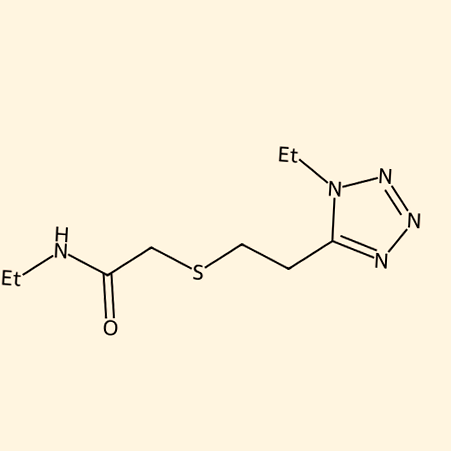 CCNC(=O)CSCCc1nnnn1CC